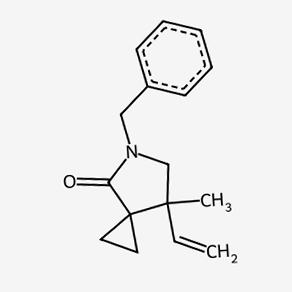 C=CC1(C)CN(Cc2ccccc2)C(=O)C12CC2